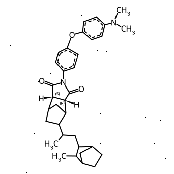 CC(CC1C2CCC(C2)C1C)C1CC2CC1[C@H]1C(=O)N(c3ccc(Oc4ccc(N(C)C)cc4)cc3)C(=O)[C@@H]21